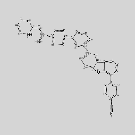 N#Cc1ccc(-c2cccc3c2oc2ccc(-c4cccc(-c5ccc(C(=N)NC6C=CC=CN6)cc5)c4)cc23)cc1